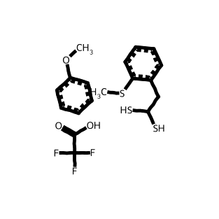 COc1ccccc1.CSc1ccccc1CC(S)S.O=C(O)C(F)(F)F